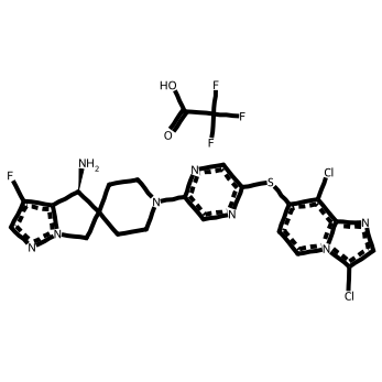 N[C@@H]1c2c(F)cnn2CC12CCN(c1cnc(Sc3ccn4c(Cl)cnc4c3Cl)cn1)CC2.O=C(O)C(F)(F)F